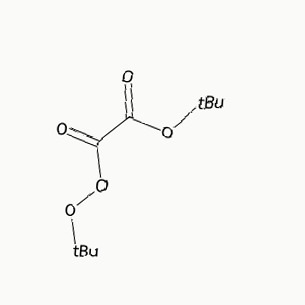 CC(C)(C)OOC(=O)C(=O)OC(C)(C)C